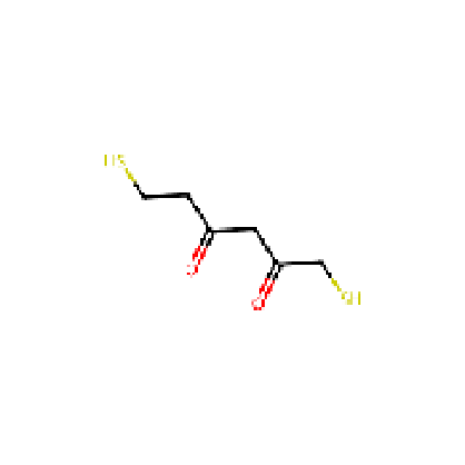 O=C(CS)CC(=O)CCS